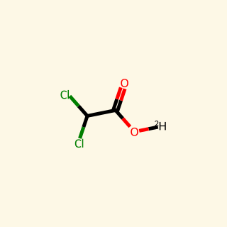 [2H]OC(=O)C(Cl)Cl